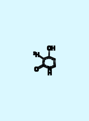 [2H]c1c(O)cc[nH]c1=O